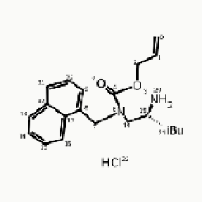 C=CCOC(=O)N(Cc1cccc2ccccc12)C[C@@H](N)[C@@H](C)CC.Cl